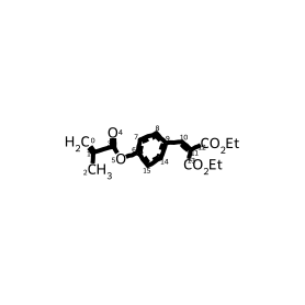 C=C(C)C(=O)Oc1ccc(C=C(C(=O)OCC)C(=O)OCC)cc1